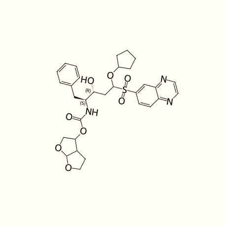 O=C(N[C@@H](Cc1ccccc1)[C@H](O)CC(OC1CCCC1)S(=O)(=O)c1ccc2nccnc2c1)OC1COC2OCCC12